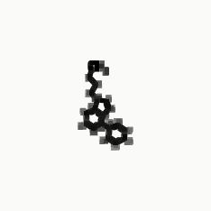 CCCC[C]1C=Cc2c1cccc2-c1ccccc1